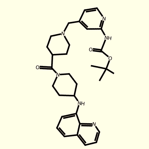 CC(C)(C)OC(=O)Nc1cc(CN2CCC(C(=O)N3CCC(Nc4cccc5cccnc45)CC3)CC2)ccn1